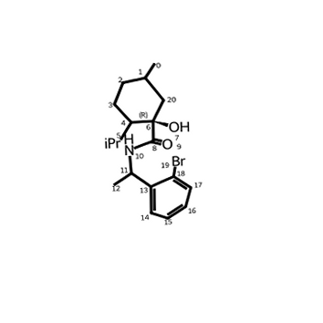 CC1CCC(C(C)C)[C@@](O)(C(=O)NC(C)c2ccccc2Br)C1